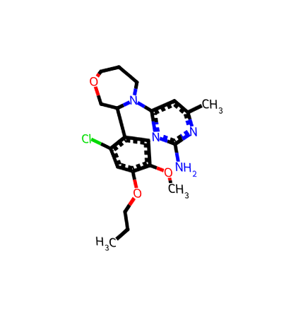 CCCOc1cc(Cl)c(C2COCCCN2c2cc(C)nc(N)n2)cc1OC